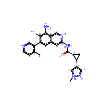 Cc1ccncc1-c1cc2cc(NC(=O)[C@H]3C[C@@H]3c3cnn(C)c3)ncc2c(N)c1F